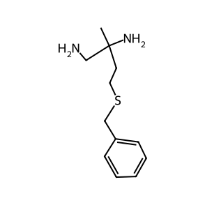 CC(N)(CN)CCSCc1ccccc1